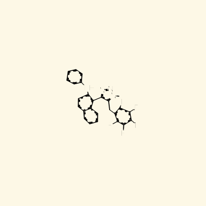 Cn1nnc(-c2c(Pc3ccccc3)ccc3ccccc23)c1Cc1c(F)c(F)c(F)c(F)c1F